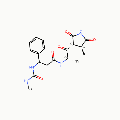 CCCCNC(=O)NC(CC(=O)N[C@H](C(=O)[C@@H]1C(=O)NC(=O)[C@H]1C)C(C)C)c1ccccc1